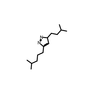 CC(C)CCCC1=CC(CCC(C)C)N=N1